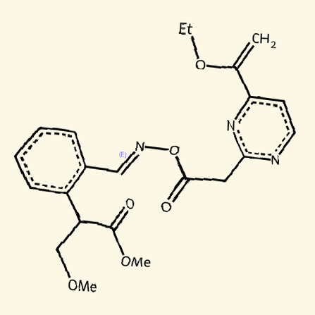 C=C(OCC)c1ccnc(CC(=O)O/N=C/c2ccccc2C(COC)C(=O)OC)n1